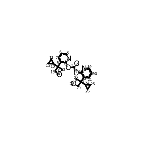 O=C(Oc1ncccc1C1(C2CC2)COC1)Oc1ncccc1C1(C2CC2)COC1